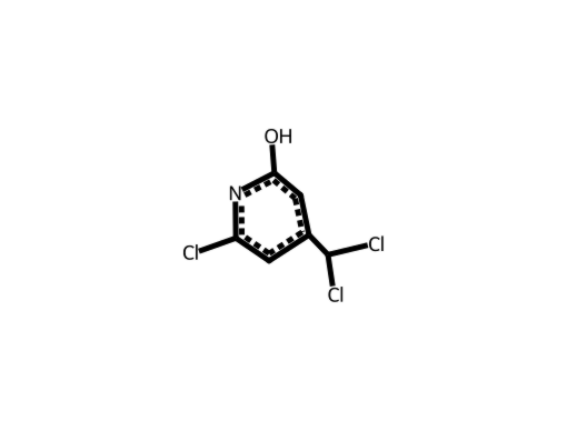 Oc1cc(C(Cl)Cl)cc(Cl)n1